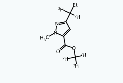 [2H]C([2H])([2H])OC(=O)c1cc(C([2H])([2H])CC)nn1C